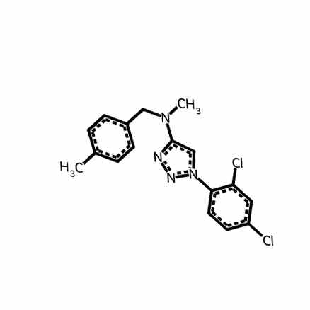 Cc1ccc(CN(C)c2cn(-c3ccc(Cl)cc3Cl)nn2)cc1